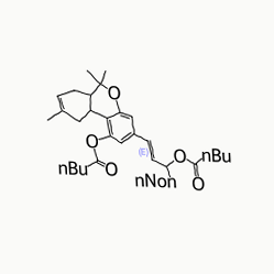 CCCCCCCCCC(/C=C/c1cc(OC(=O)CCCC)c2c(c1)OC(C)(C)C1CC=C(C)CC21)OC(=O)CCCC